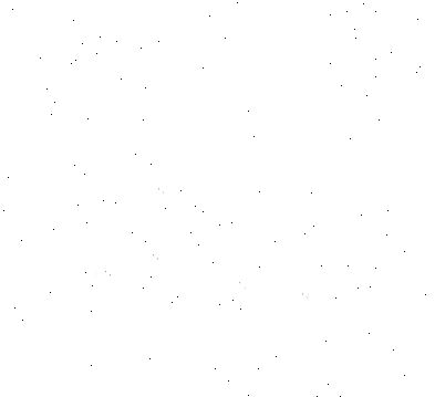 Cc1cc(CNC(=O)O)nc(C(C)C)c1N1c2nc(-c3ccccc3F)c(Cl)cc2C(=O)NS1(=O)=O